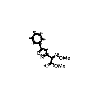 CON=C(C(=O)OC)c1cc(-c2ccccc2)on1